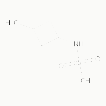 CC1CC(NS(C)(=O)=O)C1